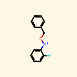 Fc1ccccc1NOCc1ccccc1